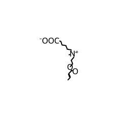 CC=CC(=O)OCCC[N+](C)(C)CCCCCC(=O)[O-]